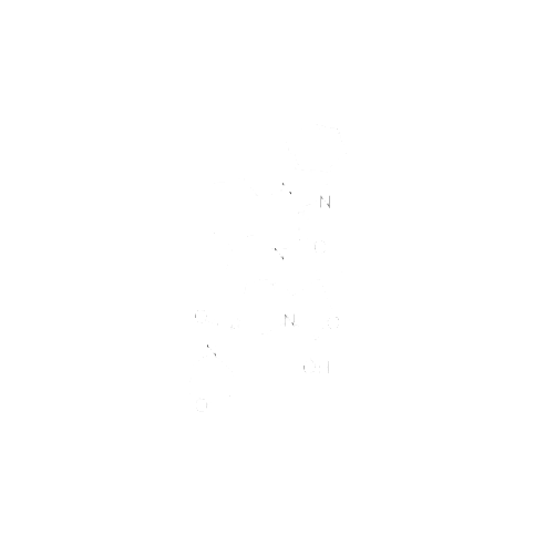 CCCn1c(C(=O)N(CC(C)C)[C@H]2C[C@@H](C(=O)N3CCOCC3)CN(C(=O)O)C2C(C)(C)C)nc2ccccc21